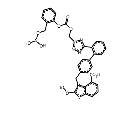 CCOc1nc2cccc(C(=O)O)c2n1Cc1ccc(-c2ccccc2-c2nnn(COC(=O)Oc3ccccc3CON(O)O)n2)cc1